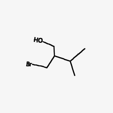 CC(C)C(CO)CBr